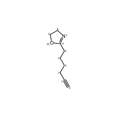 C#CCCCCC1=NCCO1